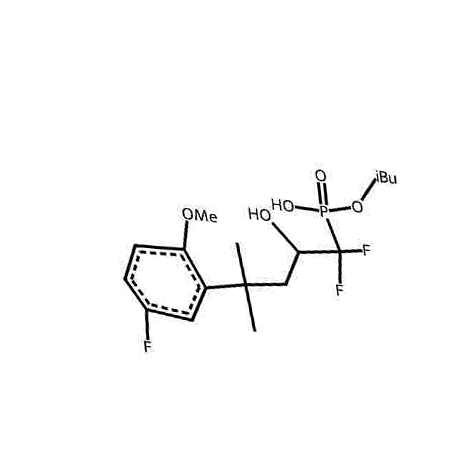 CCC(C)OP(=O)(O)C(F)(F)C(O)CC(C)(C)c1cc(F)ccc1OC